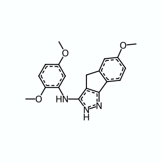 COc1ccc2c(c1)Cc1c-2n[nH]c1Nc1cc(OC)ccc1OC